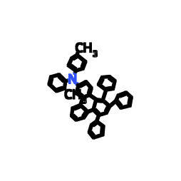 Cc1ccc(N(c2ccc3c(c2)c2ccccc2c2c(-c4ccccc4)cc(-c4ccccc4)c(-c4ccccc4)c32)c2ccccc2C)cc1